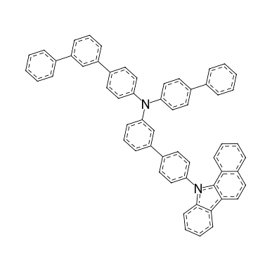 c1ccc(-c2ccc(N(c3ccc(-c4cccc(-c5ccccc5)c4)cc3)c3cccc(-c4ccc(-n5c6ccccc6c6ccc7ccccc7c65)cc4)c3)cc2)cc1